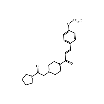 CCOC(=O)Oc1ccc(C=CC(=O)N2CCN(CC(=O)N3CCCC3)CC2)cc1